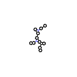 c1ccc(-c2ccc(-n3c4ccccc4c4cc(-c5ccc6c(c5)c5cc7c(cc5n6-c5ccc6ccccc6c5)C(c5ccc6ccccc6c5)c5ccccc5-7)ccc43)cc2)cc1